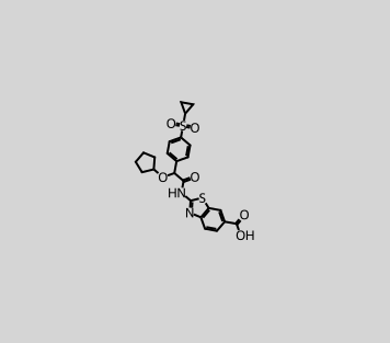 O=C(O)c1ccc2nc(NC(=O)C(OC3CCCC3)c3ccc(S(=O)(=O)C4CC4)cc3)sc2c1